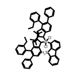 CCc1ccccc1-c1c(-c2ccccc2)ccc2c1C=C(C(C)C)[CH]2[Zr]([Cl])([Cl])([c]1cccc2c1[SiH2]c1ccccc1-2)[CH]1C(C(C)C)=Cc2c1ccc(-c1ccccc1)c2-c1ccccc1CC